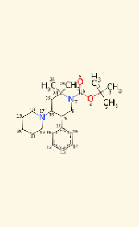 CC(C)(C)OC(=O)N1CC(c2ccccc2)C(N2CCCCC2)CC1(C)C